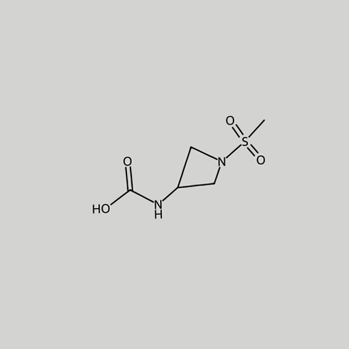 CS(=O)(=O)N1CC(NC(=O)O)C1